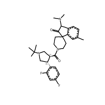 Cc1ccc2c(c1)C1(CCN(C(=O)[C@@H]3CN(C(C)(C)C)C[C@H]3c3ccc(F)cc3F)CC1)C(=O)C2N(C)C